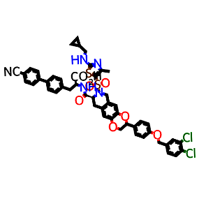 Cc1nc(NCC2CC2)sc1S(=O)(=O)N1Cc2cc3c(cc2C[C@H]1C(=O)N[C@@H](Cc1ccc(-c2ccc(C#N)cc2)cc1)C(=O)O)OCC(c1ccc(OCc2ccc(Cl)c(Cl)c2)cc1)O3